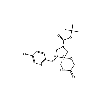 CC(C)(C)OC(=O)N1C[C@H](Sc2ccc(Cl)cn2)[C@@]2(CNC(=O)CO2)C1